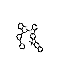 CC1(C)c2cc3ccccc3cc2-c2cc3c4ccccc4n(-c4nc(-c5cccc(-c6ccccc6)c5)c5ccccc5n4)c3cc21